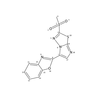 CS(=O)(=O)c1nn2c(-c3nc4ccccc4o3)cnc2s1